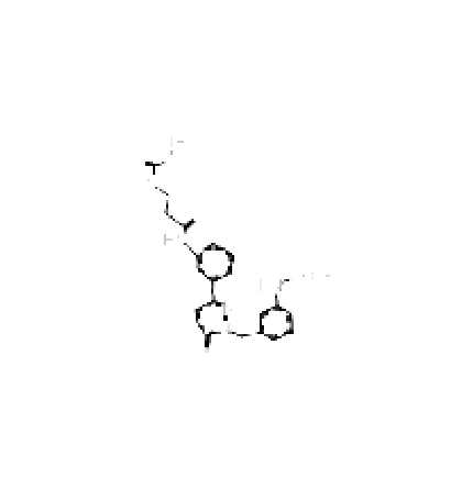 CCOC(=O)Nc1cccc(Cn2nc(-c3cccc(NC(=O)CCNC(=O)OC(C)(C)C)c3)ccc2=O)c1